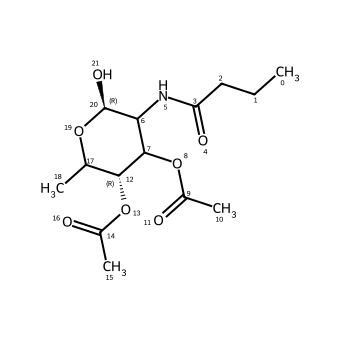 CCCC(=O)NC1C(OC(C)=O)[C@H](OC(C)=O)C(C)O[C@H]1O